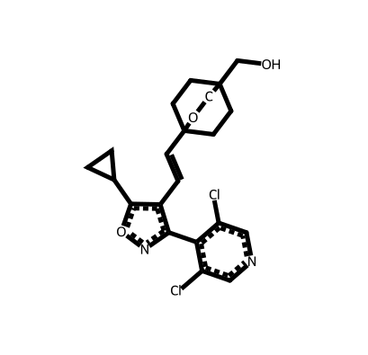 OCC12CCC(C=Cc3c(-c4c(Cl)cncc4Cl)noc3C3CC3)(CC1)OC2